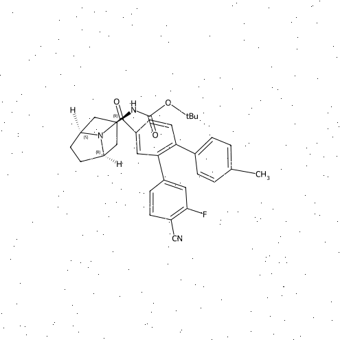 Cc1ccc(-c2ccc(C(=O)N3[C@@H]4CC[C@H]3C[C@@H](NC(=O)OC(C)(C)C)C4)cc2-c2ccc(C#N)c(F)c2)cc1